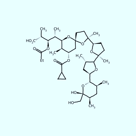 CCC(=O)O[C@H]([C@H](C)[C@H]1O[C@@]2(CC[C@@](C)([C@H]3CC[C@@](C)(C4O[C@@H]([C@H]5O[C@@](O)(CO)[C@H](C)C[C@@H]5C)C[C@@H]4C)O3)O2)C[C@H](OC(=O)C2CC2)[C@H]1C)[C@@H](C)C(=O)O